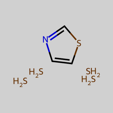 S.S.S.S.c1cscn1